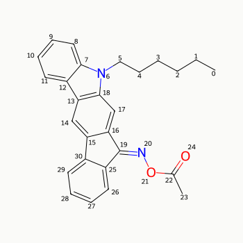 CCCCCCn1c2ccccc2c2cc3c(cc21)/C(=N/OC(C)=O)c1ccccc1-3